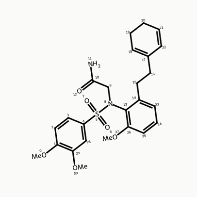 COc1ccc(S(=O)(=O)N(CC(N)=O)c2c(CCC3=CCCC=C3)cccc2OC)cc1OC